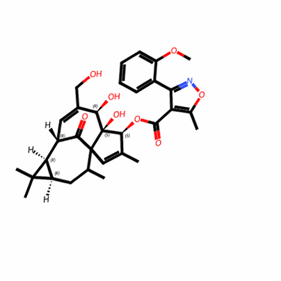 COc1ccccc1-c1noc(C)c1C(=O)O[C@H]1C(C)=CC23C(=O)[C@@H](C=C(CO)[C@@H](O)[C@]12O)[C@H]1[C@@H](CC3C)C1(C)C